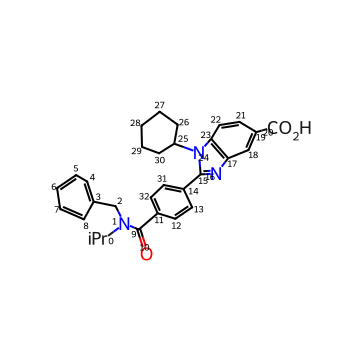 CC(C)N(Cc1ccccc1)C(=O)c1ccc(-c2nc3cc(C(=O)O)ccc3n2C2CCCCC2)cc1